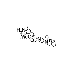 COC(=O)[C@H](CC(=O)N1CCC(N2CCc3ccccc3NC2=O)CC1)Cc1cc(C)c(N)c(Cl)c1